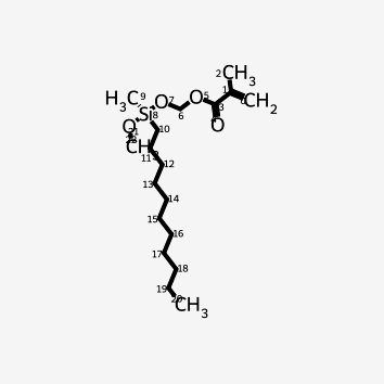 C=C(C)C(=O)OCO[Si](C)(CCCCCCCCCCC)OC